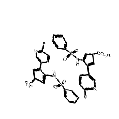 O=C(O)C1C=C(NS(=O)(=O)c2ccccc2)C(c2ccc(F)nc2)=C1.O=S(=O)(NC1=CC(C(F)(F)F)C=C1c1ccc(F)nc1)c1ccccc1